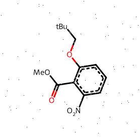 COC(=O)c1c(OCC(C)(C)C)cccc1[N+](=O)[O-]